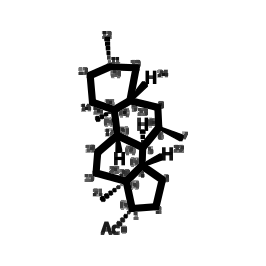 CC(=O)[C@H]1CC[C@H]2[C@@H]3[C@H](C)C[C@H]4C[C@@H](C)CC[C@]4(C)[C@H]3CC[C@]12C